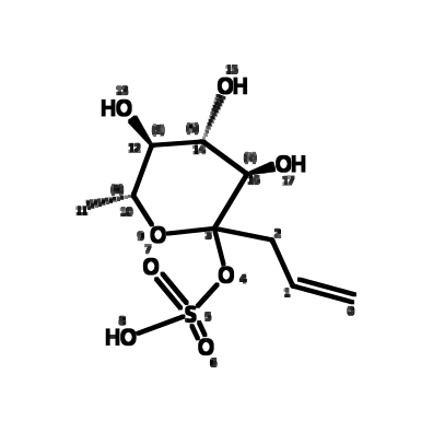 C=CCC1(OS(=O)(=O)O)O[C@H](C)[C@@H](O)[C@H](O)[C@H]1O